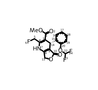 COC(=O)C1=C(CF)NC2=C(C(=O)OC2)[C@H]1c1ccccc1OC(F)F